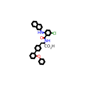 O=C(N[C@@H](Cc1ccc(-c2ccccc2Oc2ccccc2)cc1)C(=O)O)c1cc(Cl)ccc1Nc1ccc2ccccc2c1